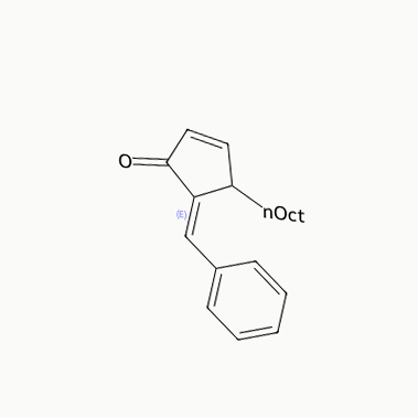 CCCCCCCCC1C=CC(=O)/C1=C/c1ccccc1